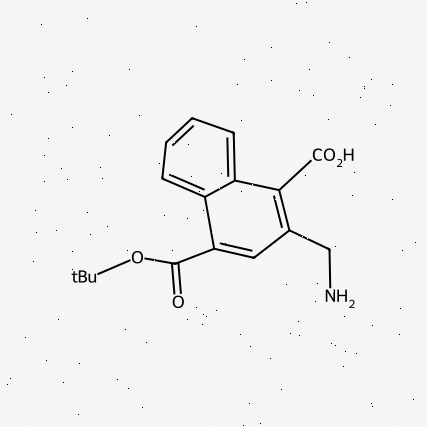 CC(C)(C)OC(=O)c1cc(CN)c(C(=O)O)c2ccccc12